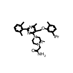 Cc1ccc(C(C)C)cc1OCc1c(C)nc(-c2c(C)cccc2C)nc1N1CCN(CC(N)=O)[C@H](C)C1